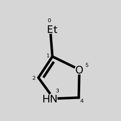 CCC1=CNCO1